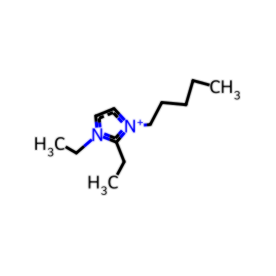 CCCCC[n+]1ccn(CC)c1CC